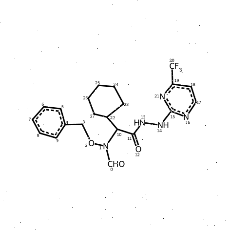 O=CN(OCc1ccccc1)C(C(=O)NNc1nccc(C(F)(F)F)n1)C1CCCCC1